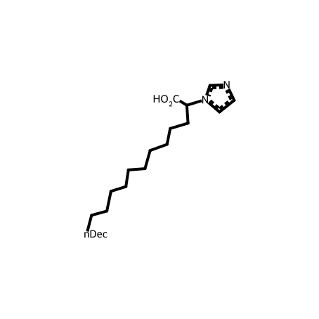 CCCCCCCCCCCCCCCCCCCCC(C(=O)O)n1ccnc1